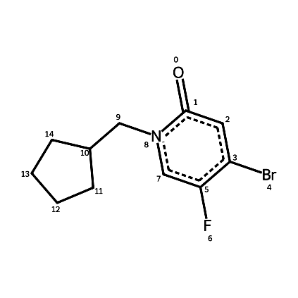 O=c1cc(Br)c(F)cn1CC1CCCC1